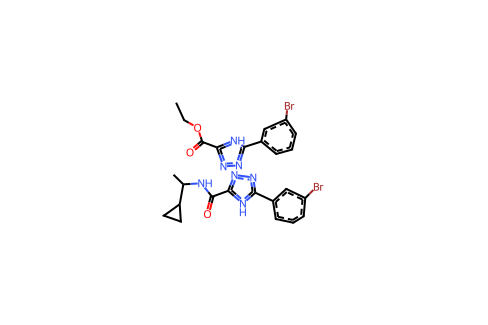 CC(NC(=O)c1nnc(-c2cccc(Br)c2)[nH]1)C1CC1.CCOC(=O)c1nnc(-c2cccc(Br)c2)[nH]1